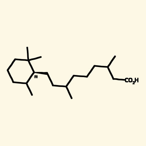 CC(CCCC(C)CC(=O)O)CC[C@H]1C(C)CCCC1(C)C